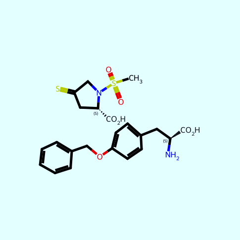 CS(=O)(=O)N1CC(=S)C[C@H]1C(=O)O.N[C@@H](Cc1ccc(OCc2ccccc2)cc1)C(=O)O